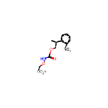 CC(COC(=O)NOCC(=O)O)c1ccccc1[N+](=O)[O-]